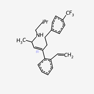 C=Cc1ccccc1/C(=C/C(C)NCC(C)C)CCc1ccc(C(F)(F)F)cc1